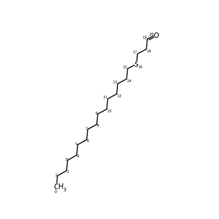 CCCCCCCCCCCCCCCCSCC[C]=O